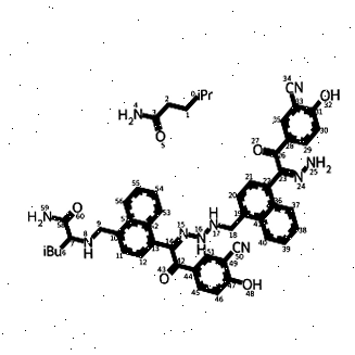 CC(C)CCC(N)=O.CCC(C)C(NCc1ccc(C(=NNNCc2ccc(C(=NN)C(=O)c3ccc(O)c(C#N)c3)c3ccccc23)C(=O)c2ccc(O)c(C#N)c2)c2ccccc12)C(N)=O